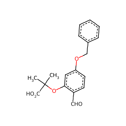 CC(C)(Oc1cc(OCc2ccccc2)ccc1C=O)C(=O)O